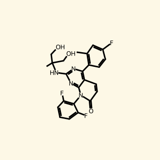 Cc1cc(F)ccc1-c1nc(NC(C)(CO)CO)nc2c1ccc(=O)n2-c1c(F)cccc1F